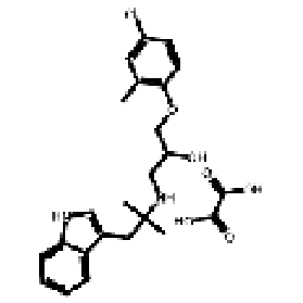 Cc1cc(Cl)ccc1OCC(O)CNC(C)(C)Cc1c[nH]c2ccccc12.O=C(O)C(=O)O